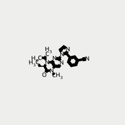 CC[C@@H]1C(=O)N(C)c2cnc(-n3ccnc3-c3cccc(C#N)c3)nc2N1C(C)C